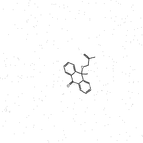 C=C(C)COC1(C)c2ccccc2C(=O)c2ccccc21